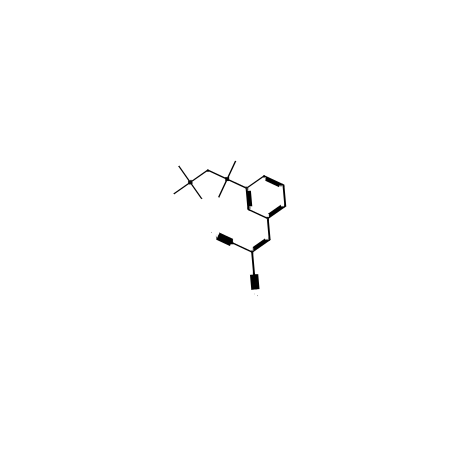 CC(C)(C)CC(C)(C)c1[c]ccc(C=C(C#N)C#N)c1